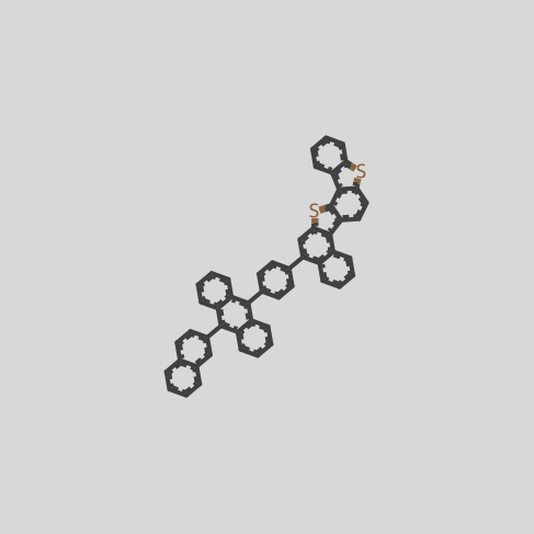 c1ccc2cc(-c3c4ccccc4c(-c4ccc(-c5cc6sc7c(ccc8sc9ccccc9c87)c6c6ccccc56)cc4)c4ccccc34)ccc2c1